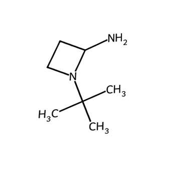 CC(C)(C)N1CCC1N